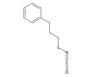 O=C=NSCCCc1ccccc1